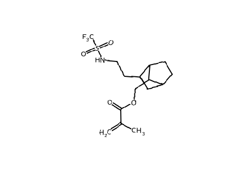 C=C(C)C(=O)OCC1C2CCC1C(CCNS(=O)(=O)C(F)(F)F)C2